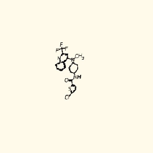 CN(c1cc(C(F)(F)F)nc2ccccc12)[C@H]1CC[C@@H](NC(=O)c2ccc(Cl)s2)CC1